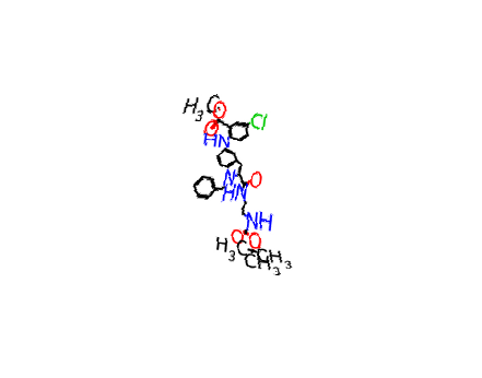 COC(=O)c1cc(Cl)ccc1Nc1ccc2c(c1)cc(C(=O)NCCNC(=O)OC(C)(C)C)n2Cc1ccccc1